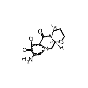 C[C@@H]1CCO[C@H]2Cn3cc(N)c(=O)c(Cl)c3C(=O)N12